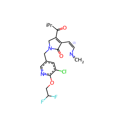 C=N/C=C\C1=C(C(=O)C(C)C)CN(Cc2cnc(OCC(F)F)c(Cl)c2)C1=O